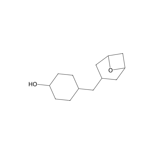 OC1CCC(CC2CC3CC(C2)O3)CC1